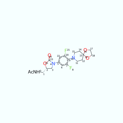 CC(=O)NC[C@H]1CN(c2cc(F)c(N3CCC4(CC3)OCCO4)c(F)c2)C(=O)O1